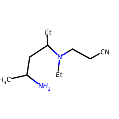 CCC(CC(C)N)N(CC)CCC#N